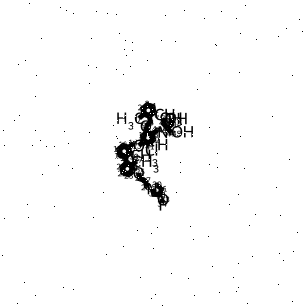 Cc1cccc(C)c1COc1cc(OCc2cccc(-c3cccc(OCCCN4CC[C@@H](OI)C4)c3C)c2C)c(Cl)cc1CNC(CO)(CO)CO